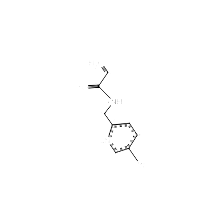 C=CC(=O)NCc1ccc(Br)cn1